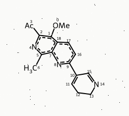 COc1c(C(C)=O)nc(C)c2nc(C3=CCCN=C3)ccc12